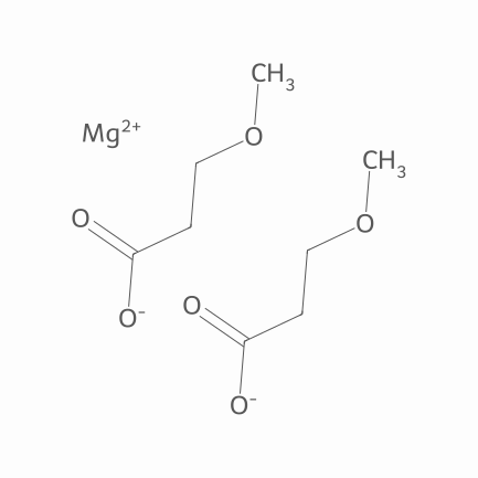 COCCC(=O)[O-].COCCC(=O)[O-].[Mg+2]